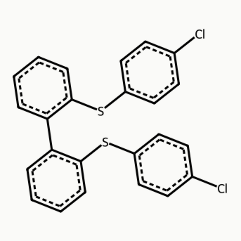 Clc1ccc(Sc2ccccc2-c2ccccc2Sc2ccc(Cl)cc2)cc1